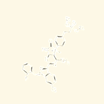 CCOP(=O)(CCc1ccc([C@@]2(C)C(=O)Nc3nc(-c4nn(Cc5ccccc5F)c5cc(Cl)ccc45)nc(N)c32)cc1)OCC